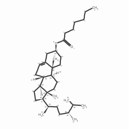 CCCCCCC(=O)O[C@H]1CC[C@@]2(C)C(=CC[C@H]3[C@@H]4CC[C@H]([C@H](C)CC[C@@H](C)C(C)C)[C@@]4(C)CC[C@@H]32)C1